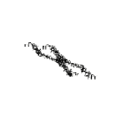 CCC[C@H]1CC[C@H](c2ccc(OCCCCCCCCCCCCOc3ccc4cc(-c5ccc([C@H]6CC[C@H](CCC)CC6)cc5)ccc4c3-c3c(OCCCCCCCCCCCCOc4ccc([C@H]5CC[C@H](CCC)CC5)cc4)ccc4cc(-c5ccc([C@H]6CC[C@H](CCC)CC6)cc5)ccc34)cc2)CC1